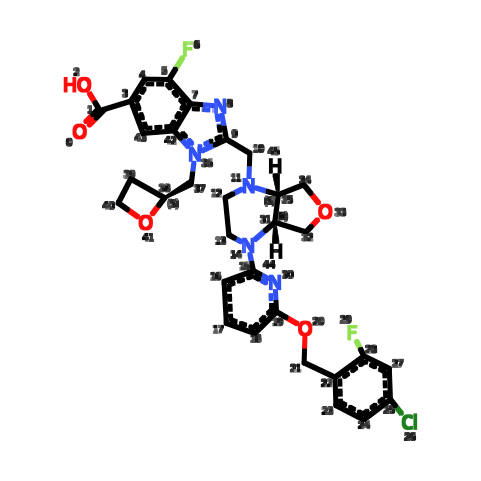 O=C(O)c1cc(F)c2nc(CN3CCN(c4cccc(OCc5ccc(Cl)cc5F)n4)[C@H]4COC[C@H]43)n(C[C@@H]3CCO3)c2c1